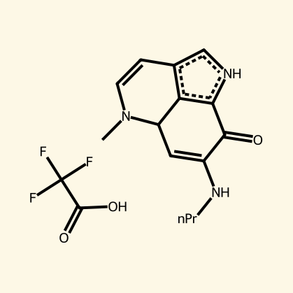 CCCNC1=CC2c3c(c[nH]c3C1=O)C=CN2C.O=C(O)C(F)(F)F